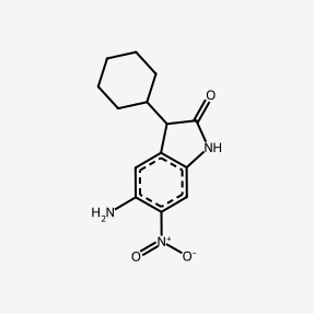 Nc1cc2c(cc1[N+](=O)[O-])NC(=O)C2C1CCCCC1